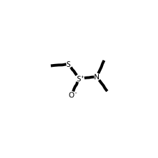 CS[S+]([O-])N(C)C